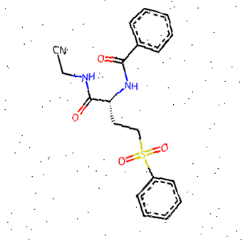 N#CCNC(=O)[C@@H](CCS(=O)(=O)c1ccccc1)NC(=O)c1ccccc1